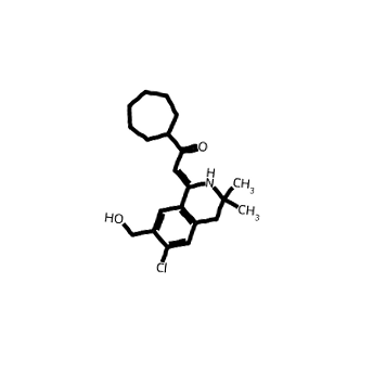 CC1(C)Cc2cc(Cl)c(CO)cc2C(=CC(=O)C2CCCCCC2)N1